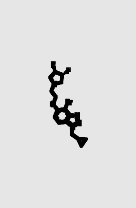 F[C@@H]1CN(CCOc2ccc3c(nnn3CC3CC3)c2Br)C[C@H]1F